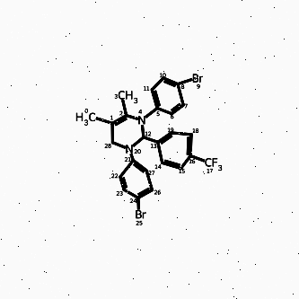 CC1=C(C)N(c2ccc(Br)cc2)C(c2ccc(C(F)(F)F)cc2)N(c2ccc(Br)cc2)C1